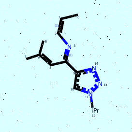 C/C=C\N=C(/C=C(C)C)c1cn(C(C)C)nn1